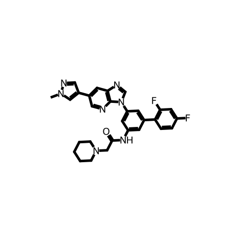 Cn1cc(-c2cnc3c(c2)ncn3-c2cc(NC(=O)CN3CCCCC3)cc(-c3ccc(F)cc3F)c2)cn1